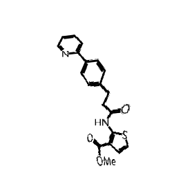 COC(=O)c1ccsc1NC(=O)CCc1ccc(-c2ccccn2)cc1